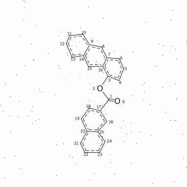 O=C(Oc1cccc2cc3ccccc3cc12)c1ccc2ccccc2c1